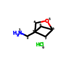 Cl.NCC12COC(C1)C2